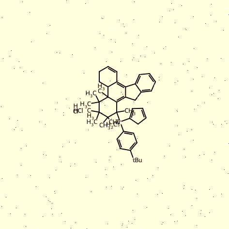 Cl.Cl.[CH2]=[Zr]([C]1=CC=CC1)([c]1ccc(C(C)(C)C)cc1)[C]1(C)C2=C3Cc4ccccc4C3=C3C=CCCC3C2(C)C(C)(C)C(C)(C)C1(C)C